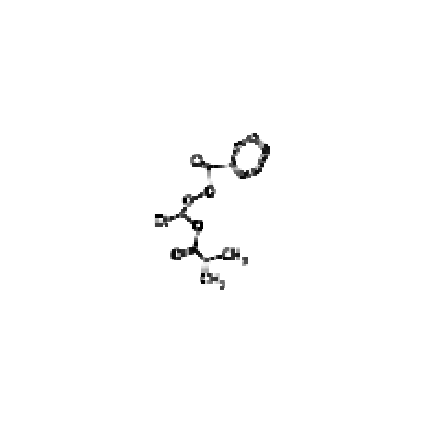 C=C(C)C(=O)OC(CC)OOC(=O)c1ccccc1